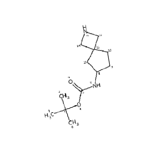 CC(C)(C)OC(=O)NC1CCC2(CNC2)C1